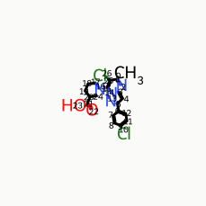 Cc1nc2cc(-c3ccc(Cl)cc3)nn2c(N2CCCC(C(=O)O)C2)c1Cl